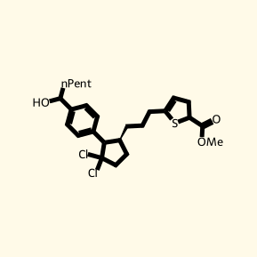 CCCCCC(O)c1ccc(C2[C@@H](CCCC3=CCC(C(=O)OC)S3)CCC2(Cl)Cl)cc1